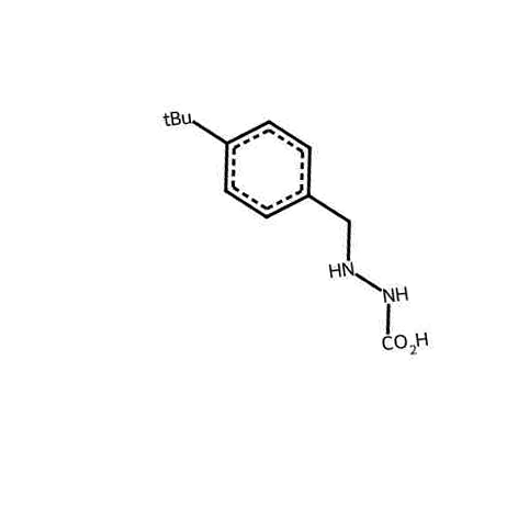 CC(C)(C)c1ccc(CNNC(=O)O)cc1